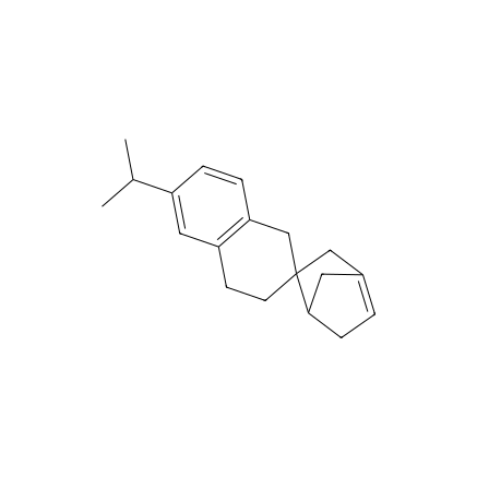 CC(C)c1ccc2c(c1)CCC1(CC3=CCC1C3)C2